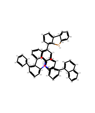 c1ccc(-c2ccccc2-c2c(-c3ccccc3)cccc2N(c2ccc(-c3cccc4c3sc3ccccc34)cc2)c2cccc(-c3cccc4ccccc34)c2)cc1